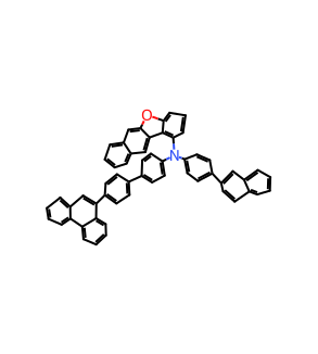 c1ccc2cc(-c3ccc(N(c4ccc(-c5ccc(-c6cc7ccccc7c7ccccc67)cc5)cc4)c4cccc5oc6cc7ccccc7cc6c45)cc3)ccc2c1